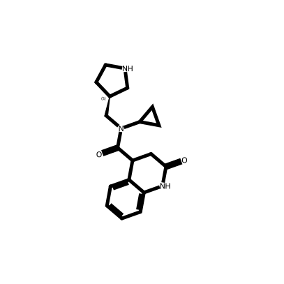 O=C1CC(C(=O)N(C[C@H]2CCNC2)C2CC2)c2ccccc2N1